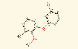 COc1c(C)cccc1Oc1cccc(Cl)c1